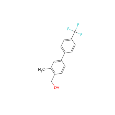 Cc1cc(-c2ccc(C(F)(F)F)cc2)ccc1CO